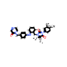 CC1(C)C(=O)N(c2ccc(C#N)c(C(F)(F)F)c2)C(=O)N1Cc1ccccc1Nc1ccc(CN2CCNCC2=O)cc1